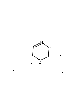 [CH]1CNCC=N1